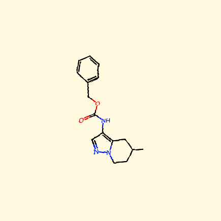 CC1CCn2ncc(NC(=O)OCc3ccccc3)c2C1